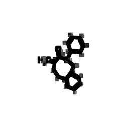 C=C1CCc2ccccc2CN(c2ccccc2)C1=O